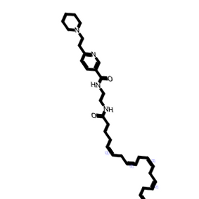 CC/C=C\C/C=C\C/C=C\C/C=C\C/C=C\CCCC(=O)NCCNC(=O)c1ccc(CCN2CCCCC2)nc1